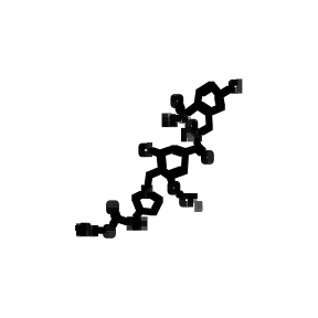 CCS(=O)(=O)c1ccc(Cl)cc1CNC(=O)c1cc(Cl)c(CN2CC[C@@H](NC(=O)OC(C)(C)C)C2)c(OC(F)(F)F)c1